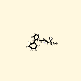 COC(=O)/C=C/CN1CCCC1c1ccccc1